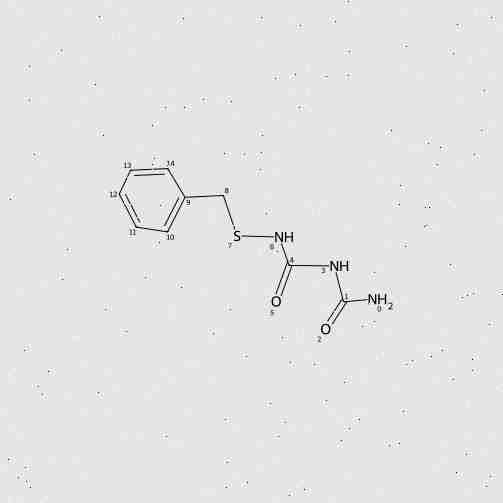 NC(=O)NC(=O)NSCc1ccccc1